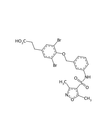 Cc1noc(C)c1S(=O)(=O)Nc1cccc(COc2c(Br)cc(CCC(=O)O)cc2Br)c1